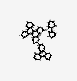 c1ccc2c(c1)c1ccccc1c1cc(-c3ncc4c(n3)c3nc(-n5c6ccccc6c6ccccc65)ncc3c3c5ccccc5c5ccccc5c43)ccc21